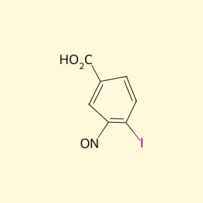 O=Nc1cc(C(=O)O)ccc1I